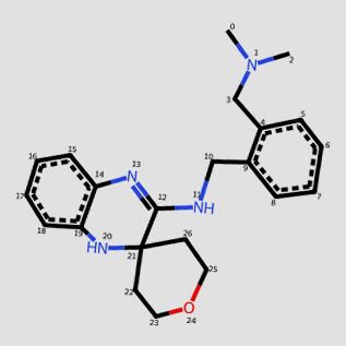 CN(C)Cc1ccccc1CNC1=Nc2ccccc2NC12CCOCC2